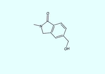 CN1Cc2cc(CO)ccc2C1=O